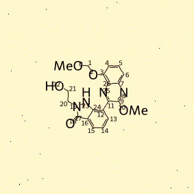 COCOc1cccc2nc(OC)c(-c3cccc4c(=O)n(CCO)[nH]c34)nc12